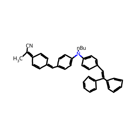 CCCCN(c1ccc(C=C(c2ccccc2)c2ccccc2)cc1)c1ccc(C=c2ccc(=C(C)C#N)cc2)cc1